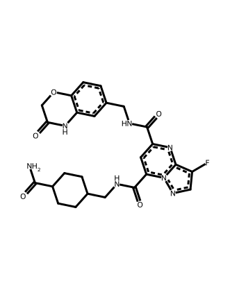 NC(=O)C1CCC(CNC(=O)c2cc(C(=O)NCc3ccc4c(c3)NC(=O)CO4)nc3c(F)cnn23)CC1